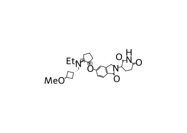 CCN(C[C@H]1C[C@H](OC)C1)[C@H]1CCC[C@H]1Oc1ccc2c(c1)CN(C1CCC(=O)NC1=O)C2=O